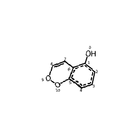 Oc1cccc2c1C=COO2